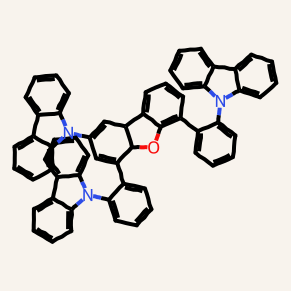 C1=C(c2ccccc2-n2c3ccccc3c3ccccc32)C2Oc3c(-c4ccccc4-n4c5ccccc5c5ccccc54)cccc3C2C=C1n1c2ccccc2c2ccccc21